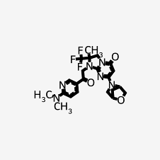 CN(C)c1ccc(C(=O)CN2c3nc(N4CC5CC4CO5)cc(=O)n3CC2(C)C(F)(F)F)cn1